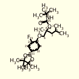 CC(C)C[C@@](C)(COc1ccc(B2OC(C)(C)C(C)(C)O2)cc1F)OC(=O)NC(C)(C)C